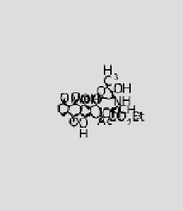 CCOC(=O)C=C(C)NC1CC(O[C@H]2C[C@](O)(C(C)=O)Cc3c(O)c4c(c(O)c32)C(=O)c2c(OC)cccc2C4=O)OC(C)C1O